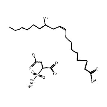 CCCCCCC(O)C/C=C\CCCCCCCC(=O)O.O=C([O-])CC(C(=O)[O-])S(=O)(=O)O.[Na+].[Na+]